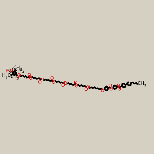 CCCCCC1CCC(C2CCC(C(=O)Oc3ccc(OC(=O)c4ccc(OCCCCCCCCOC(=O)CCCCCOC(=O)CCCCCOC(=O)CCCCCOC(=O)CCCCCOC(=O)CCCCCOC(=O)CCCCCOC(=O)c5cc(C(C)(C)C)c(O)c(C(C)(C)C)c5)cc4)cc3)CC2)CC1